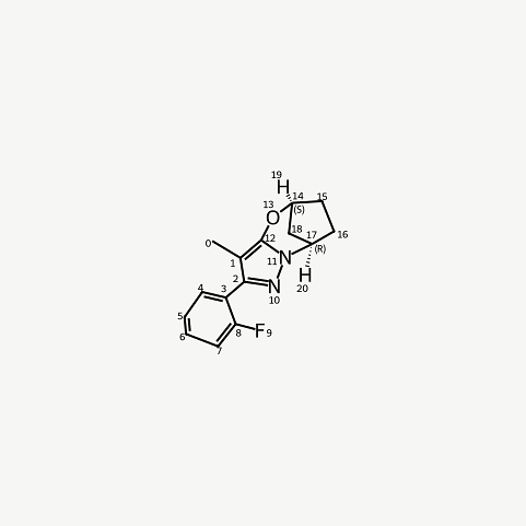 Cc1c(-c2ccccc2F)nn2c1O[C@H]1CC[C@@H]2C1